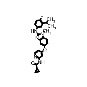 CC(C)c1cc(Nc2nc3cc(Oc4ccnc(NC(=O)C5CC5)c4)ccc3n2C)ccc1F